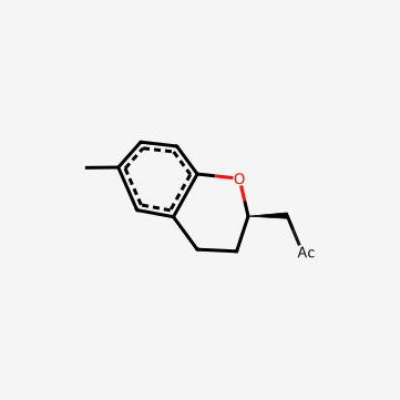 CC(=O)C[C@H]1CCc2cc(C)ccc2O1